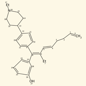 C=CCC/C=C/C(CC)=C(\c1ccc(C2CCN(CC)CC2)cc1)c1cccc(O)c1